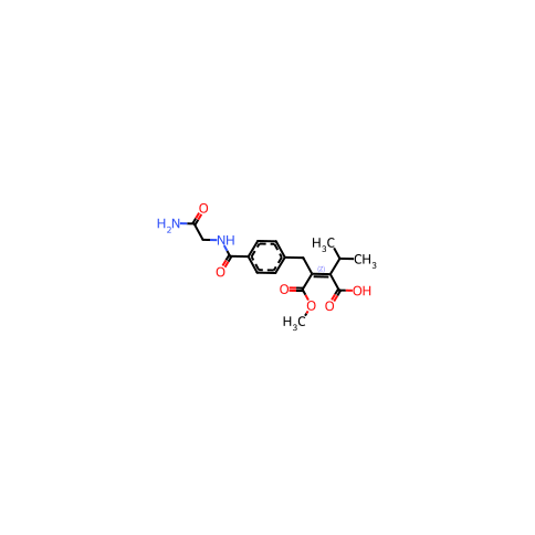 COC(=O)/C(Cc1ccc(C(=O)NCC(N)=O)cc1)=C(\C(=O)O)C(C)C